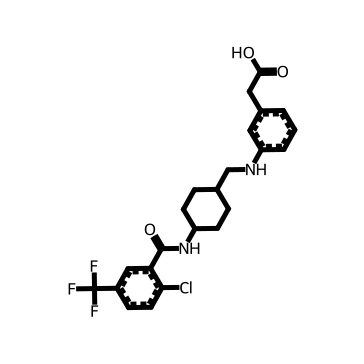 O=C(O)Cc1cccc(NCC2CCC(NC(=O)c3cc(C(F)(F)F)ccc3Cl)CC2)c1